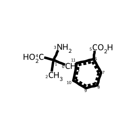 CC(C)(N)C(=O)O.O=C(O)c1ccccc1